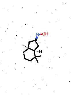 CC1(C)CCC[C@@]2(C)CC(=NO)C[C@@H]12